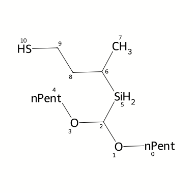 CCCCCOC(OCCCCC)[SiH2]C(C)CCS